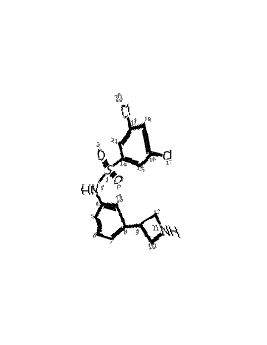 O=S(=O)(Nc1cccc(C2CNC2)c1)c1cc(Cl)cc(Cl)c1